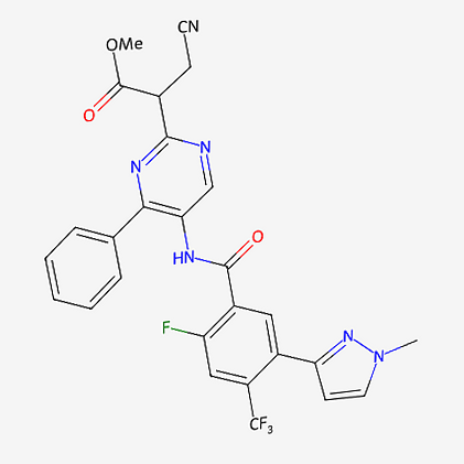 COC(=O)C(CC#N)c1ncc(NC(=O)c2cc(-c3ccn(C)n3)c(C(F)(F)F)cc2F)c(-c2ccccc2)n1